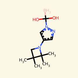 BC(O)(O)n1cc(N2CC(C)(C)C2(C)C)cn1